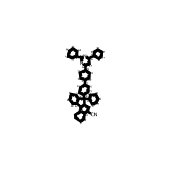 N#Cc1cc2c(c3ccccc13)-c1ccccc1C2(c1ccccc1)c1ccc(-c2ccc(-c3cc(-c4ccccc4)nc(-c4ccccc4)n3)cc2)cc1